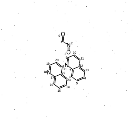 O=CN=O.c1ccc2ncccc2c1.c1ccc2ncccc2c1